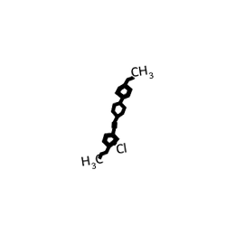 CCCc1ccc(C2CCC(C#Cc3ccc(CCC)c(Cl)c3)CC2)cc1